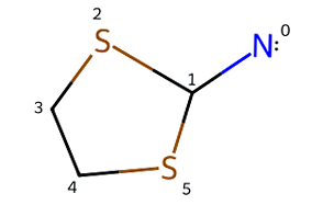 [N]C1SCCS1